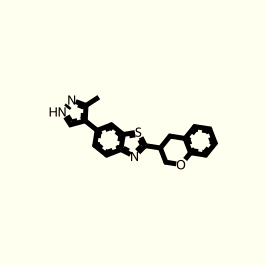 Cc1n[nH]cc1-c1ccc2nc(C3COc4ccccc4C3)sc2c1